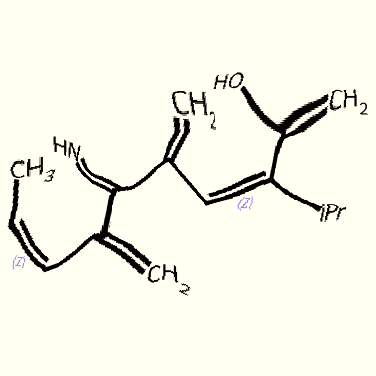 C=C(/C=C\C)C(=N)C(=C)/C=C(\C(=C)O)C(C)C